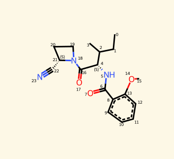 CCC(C)[C@H](NC(=O)c1ccccc1OC)C(=O)N1CC[C@H]1C#N